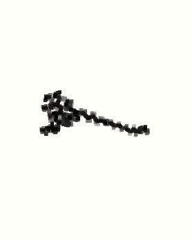 CCCCCCCCCCCCCCCC(=O)N[C@H](C(=O)N[C@@H](CC(N)=O)C(=O)O)[C@@H](C)CC